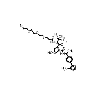 Cc1ncsc1-c1ccc([C@H](C)NC(=O)[C@@H]2C[C@@H](O)CN2C(=O)[C@@H](NC(=O)CCOCCOCCOCCBr)C(C)(C)C)cc1